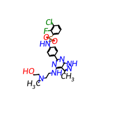 Cc1n[nH]c2nc(-c3ccc(NS(=O)(=O)c4cccc(Cl)c4F)cc3)nc(NCCN(C)CCO)c12